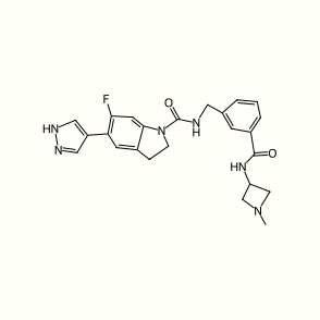 CN1CC(NC(=O)c2cccc(CNC(=O)N3CCc4cc(-c5cn[nH]c5)c(F)cc43)c2)C1